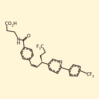 O=C(O)CCNC(=O)c1ccc(/C=C\[C@@H](CCC(F)(F)F)c2ccc(-c3ccc(C(F)(F)F)cc3)nc2)cc1